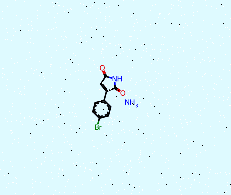 N.O=C1C=C(c2ccc(Br)cc2)C(=O)N1